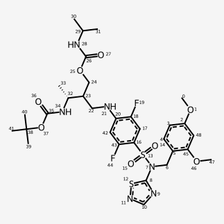 COc1ccc(CN(c2ncns2)S(=O)(=O)c2cc(F)c(NCC(COC(=O)NC(C)C)[C@@H](C)NC(=O)OC(C)(C)C)cc2F)c(OC)c1